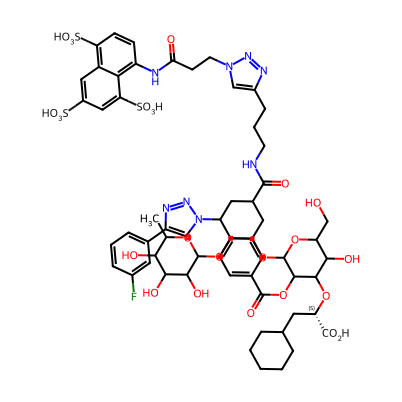 CC1OC(OC2C(OC3OC(CO)C(O)C(O[C@@H](CC4CCCCC4)C(=O)O)C3OC(=O)c3ccccc3)CC(C(=O)NCCCc3cn(CCC(=O)Nc4ccc(S(=O)(=O)O)c5cc(S(=O)(=O)O)cc(S(=O)(=O)O)c45)nn3)CC2n2cc(-c3cccc(F)c3)nn2)C(O)C(O)C1O